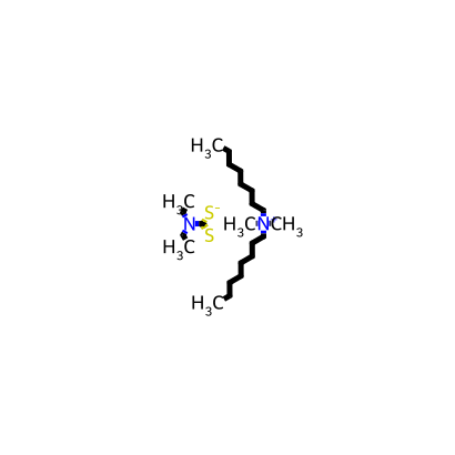 CCCCCCCC[N+](C)(C)CCCCCCCC.CCN(CC)C(=S)[S-]